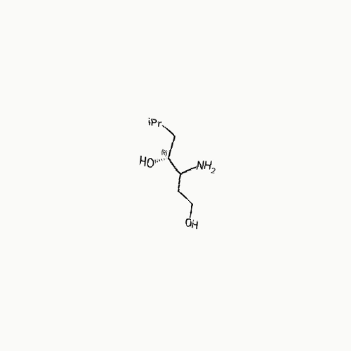 CC(C)C[C@@H](O)C(N)CCO